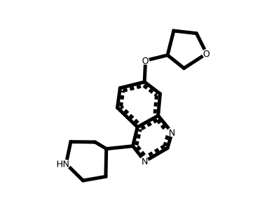 c1nc(C2CCNCC2)c2ccc(OC3CCOC3)cc2n1